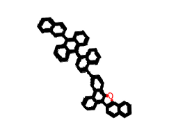 c1ccc2cc(-c3c4ccccc4c(-c4ccc(-c5ccc6c(c5)c5ccccc5c5c7ccc8ccccc8c7oc65)c5ccccc45)c4ccccc34)ccc2c1